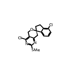 CSc1nc(Cl)c2c(n1)C[C@]1(CCc3c(Cl)cccc31)OC2